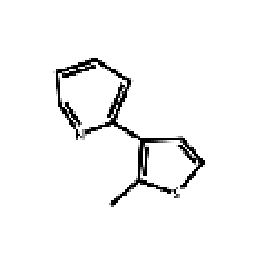 Cc1s[c]cc1-c1ccccn1